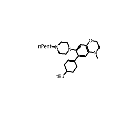 CCCCCN1CCN(c2cc3c(cc2C2=CCC(C(C)(C)C)CC2)N(C)CCO3)CC1